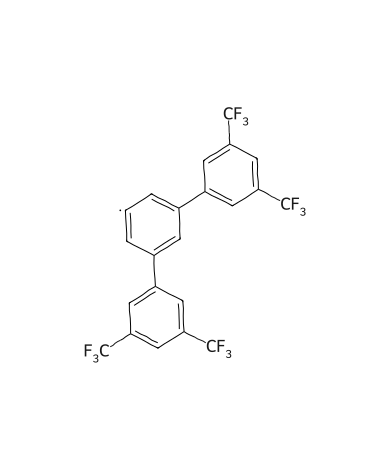 FC(F)(F)c1cc(-c2c[c]cc(-c3cc(C(F)(F)F)cc(C(F)(F)F)c3)c2)cc(C(F)(F)F)c1